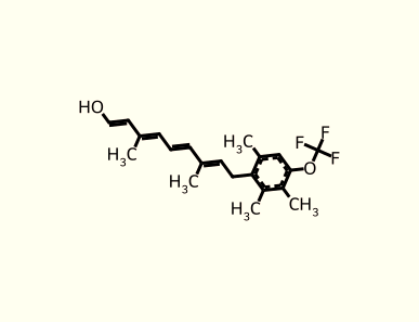 CC(/C=C/O)=C\C=C\C(C)=C\Cc1c(C)cc(OC(F)(F)F)c(C)c1C